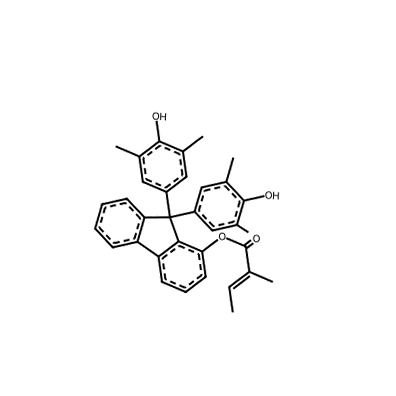 CC=C(C)C(=O)Oc1cccc2c1C(c1cc(C)c(O)c(C)c1)(c1cc(C)c(O)c(C)c1)c1ccccc1-2